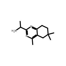 Cc1nc(C(C)N)nc2c1CC(C)(C)CC2